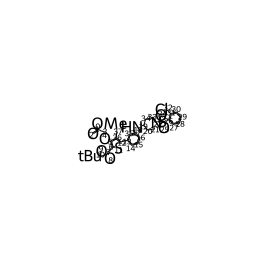 COC(=O)COc1c(C(=O)OC(C)(C)C)sc(-c2cccc(NC3CCN(S(=O)(=O)c4ccccc4Cl)CC3)c2)c1C